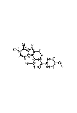 COc1cnc(C(=O)N2CCc3[nH]c4c(Cl)c(Cl)ccc4c3[C@@H]2C(F)F)nc1